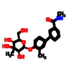 CNC(=O)c1cccc(-c2ccc(O[C@H]3O[C@H](CO)[C@@H](O)[C@@](C)(O)[C@H]3O)c(C)c2)c1